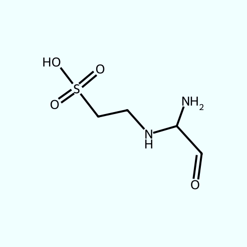 NC(C=O)NCCS(=O)(=O)O